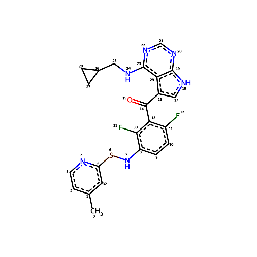 Cc1ccnc(SNc2ccc(F)c(C(=O)c3c[nH]c4ncnc(NCC5CC5)c34)c2F)c1